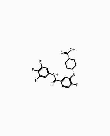 O=C(Nc1cc(F)c(F)c(F)c1)c1ccc(F)c(S[C@H]2CC[C@@H](C(=O)O)CC2)c1